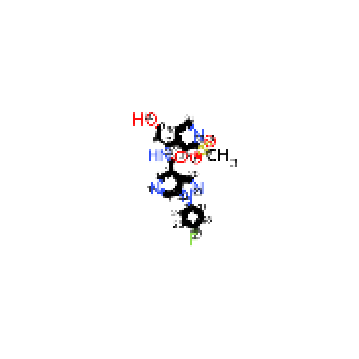 CS(=O)(=O)c1cc([C@H](CCO)NC(=O)c2cncc3c2cnn3-c2ccc(F)cc2)ccn1